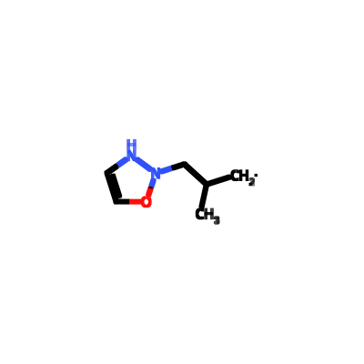 [CH2]C(C)CN1NC=CO1